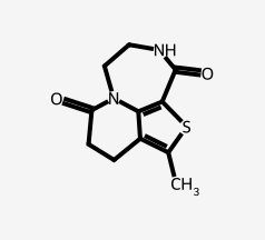 Cc1sc2c3c1CCC(=O)N3CCNC2=O